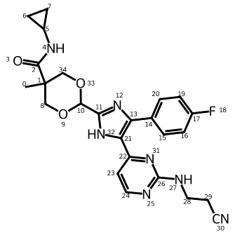 CC1(C(=O)NC2CC2)COC(c2nc(-c3ccc(F)cc3)c(-c3ccnc(NCCC#N)n3)[nH]2)OC1